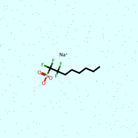 CCCCCCC(F)(F)C(F)(F)S(=O)(=O)[O-].[Na+]